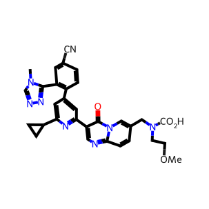 COCCN(Cc1ccc2ncc(-c3cc(-c4ccc(C#N)cc4-c4nncn4C)cc(C4CC4)n3)c(=O)n2c1)C(=O)O